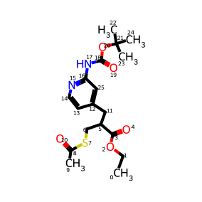 CCOC(=O)C(CSC(C)=O)Cc1ccnc(NC(=O)OC(C)(C)C)c1